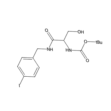 CC(C)(C)OC(=O)NC(CO)C(=O)NCc1ccc(I)cc1